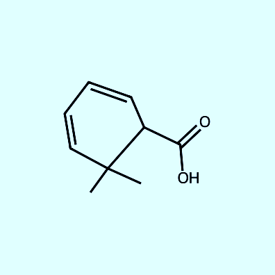 CC1(C)C=CC=CC1C(=O)O